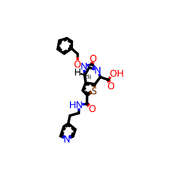 O=C(NCCc1ccncc1)c1cc2c(s1)C(C(=O)O)N1C[C@H]2N(OCc2ccccc2)C1=O